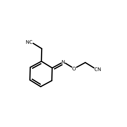 N#CCON=C1CC=CC=C1CC#N